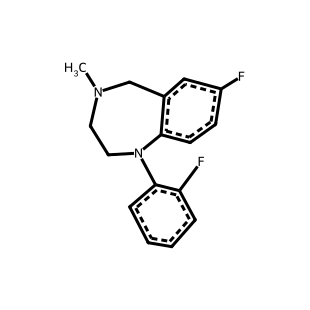 CN1CCN(c2ccccc2F)c2ccc(F)cc2C1